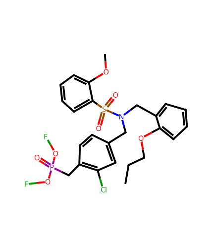 CCCOc1ccccc1CN(Cc1ccc(CP(=O)(OF)OF)c(Cl)c1)S(=O)(=O)c1ccccc1OC